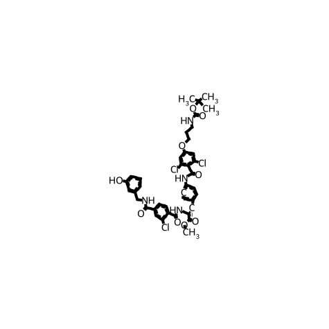 COC(=O)[C@H](Cc1ccc(NC(=O)c2c(Cl)cc(OCCCNC(=O)OC(C)(C)C)cc2Cl)cc1)NC(=O)c1ccc(C(=O)NCc2cccc(O)c2)cc1Cl